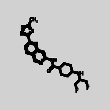 Cc1nnc(-c2ccc3cnc(NC(=O)N4CCC(NC(CF)CF)CC4)cc3n2)s1